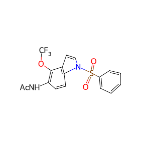 CC(=O)Nc1ccc2c(ccn2S(=O)(=O)c2ccccc2)c1OC(F)(F)F